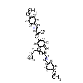 COc1ccc(/C=C/C(=O)Cc2ccc(OC(=O)/C=C/c3ccc(OC)cc3)cc2OCC2CO2)cc1